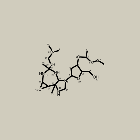 CSS[C@H](C)OC1CC(N2CNC3(C)C4OC4NC(C)(NCN(C)C)NC23)OC1CO